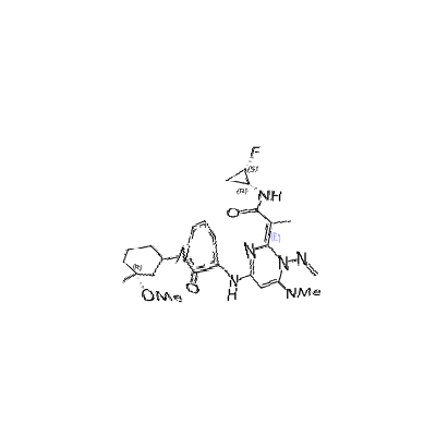 C=NN1C(NC)=CC(Nc2cccn(C3CCC[C@@](C)(OC)C3)c2=O)=N/C1=C(/C)C(=O)N[C@@H]1C[C@@H]1F